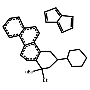 C1=CC2=CC=CC2=C1.CCCCC1(CC)CC(C2CCCCC2)Cc2c1ccc1c2ccc2ccccc21